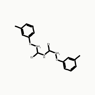 CCC(NC(CC)[SiH2]Oc1cccc(C)c1)[SiH2]Oc1cccc(C)c1